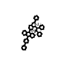 N=C(c1ccccc1)C(c1ccccc1)C1NC(c2ccccc2)=Cc2ccc(-c3c4ccccc4c(-c4ccc(-c5ccccc5)cc4)c4ccccc34)cc21